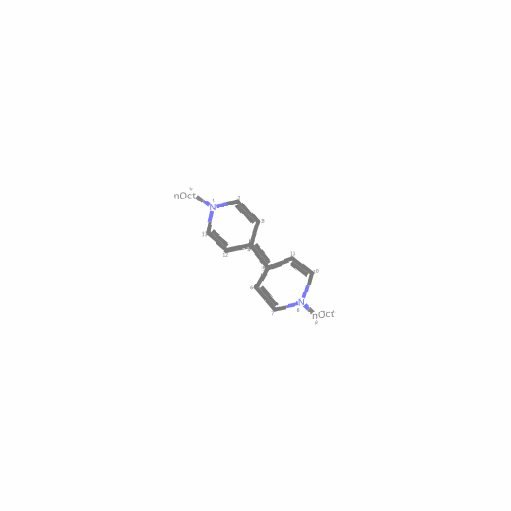 CCCCCCCCN1C=CC(=C2C=CN(CCCCCCCC)C=C2)C=C1